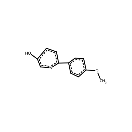 COc1ccc(-c2ccc(O)cn2)cc1